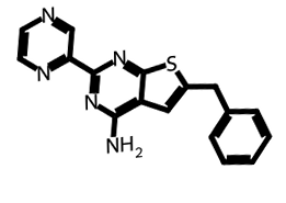 Nc1nc(-c2cnccn2)nc2sc(Cc3ccccc3)cc12